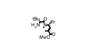 COC(=O)/C(C)=C/[C@H](C(C)C)N(C)C(=O)[C@@H](N)C(C)(C)C